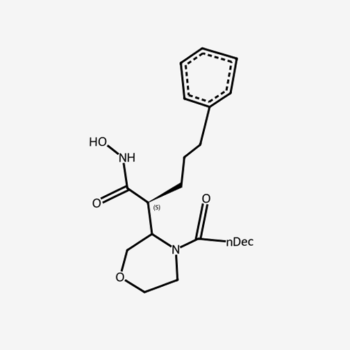 CCCCCCCCCCC(=O)N1CCOCC1[C@H](CCCc1ccccc1)C(=O)NO